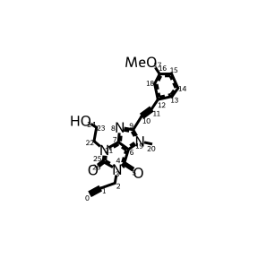 C#CCn1c(=O)c2c(nc(C#Cc3cccc(OC)c3)n2C)n(CCO)c1=O